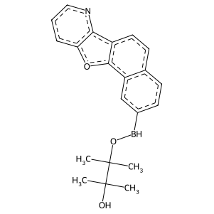 CC(C)(O)C(C)(C)OBc1ccc2ccc3c4ncccc4oc3c2c1